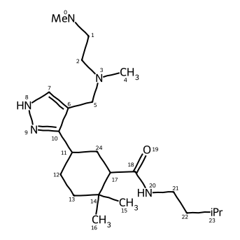 CNCCN(C)Cc1c[nH]nc1C1CCC(C)(C)C(C(=O)NCCC(C)C)C1